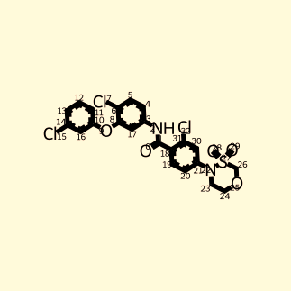 O=C(Nc1ccc(Cl)c(Oc2cccc(Cl)c2)c1)c1ccc(N2CCOCS2(=O)=O)cc1Cl